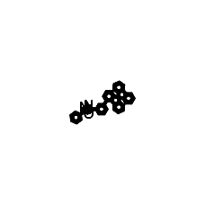 c1ccc(-c2nnc(-c3cccc(-c4cccc5c4-c4ccccc4C54c5ccccc5-c5ccccc54)c3)o2)cc1